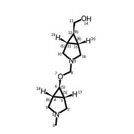 CN1C[C@@H]2[C@H](C1)[C@H]2OCN1C[C@@H]2[C@@H](CO)[C@@H]2C1